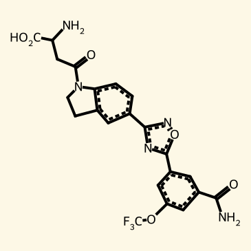 NC(=O)c1cc(OC(F)(F)F)cc(-c2nc(-c3ccc4c(c3)CCN4C(=O)CC(N)C(=O)O)no2)c1